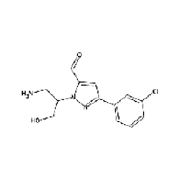 NCC(CO)n1nc(-c2cccc(Cl)c2)cc1C=O